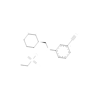 CCS(=O)(=O)N[C@@H]1CCCC[C@H]1COc1cccc(C#N)c1